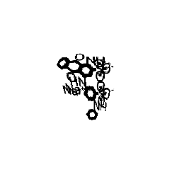 Nc1c(S(=O)(=O)[O-])cc(Nc2ccc(Nc3ccccc3)c(S(=O)(=O)[O-])c2)c2c1C(=O)c1ccccc1C2=O.[Na+].[Na+]